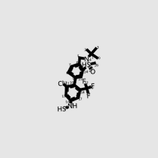 CC(C)(C)N1Cc2ccc(-c3c(Cl)cc(NS)cc3C(F)(F)F)cc2[SH]1(C)=O